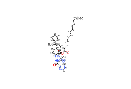 CCCCCCCCCCCCCCCCCCCCCC(=O)OCC1(NCCCC[Si](c2ccccc2)(c2ccccc2)C(C)(C)C)N=C2N=CN=C2C(=O)N1